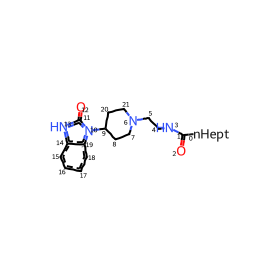 CCCCCCCC(=O)NCCN1CCC(n2c(=O)[nH]c3ccccc32)CC1